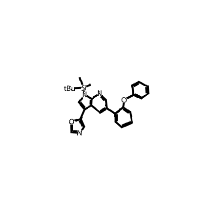 CC(C)(C)[Si](C)(C)n1cc(-c2cnco2)c2cc(-c3ccccc3Oc3ccccc3)cnc21